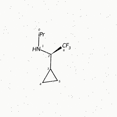 CC(C)N[C@H](C1CC1)C(F)(F)F